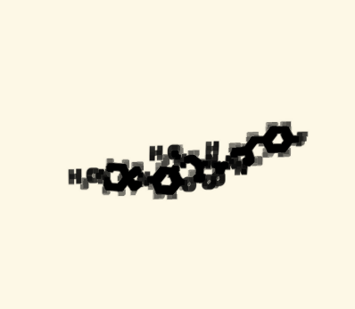 CN1CCC2(CC1)CN(c1ccc3c(c1)N(C)C[C@@H](NC(=O)n1cc(Cc4ccc(F)cc4)cn1)C(=O)O3)C2